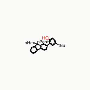 CCCCCCC1(CCCCC)c2ccccc2-c2ccc(-c3cc(C(C)(C)C)ccc3O)cc21